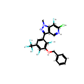 Cn1nc(-c2cc(C(F)(F)F)c(F)c(OCc3ccccc3)c2F)c2cnc(Cl)c(F)c21